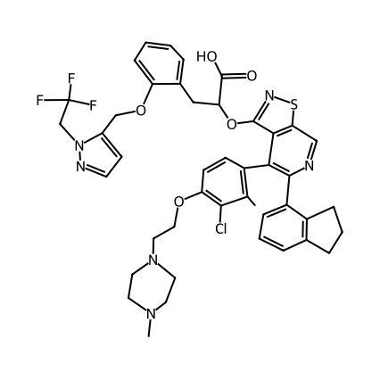 Cc1c(-c2c(-c3cccc4c3CCC4)ncc3snc(OC(Cc4ccccc4OCc4ccnn4CC(F)(F)F)C(=O)O)c23)ccc(OCCN2CCN(C)CC2)c1Cl